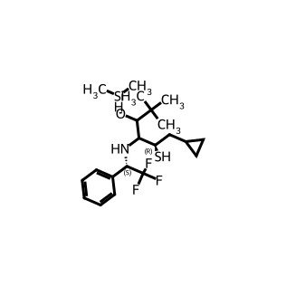 C[SiH](C)OC(C(N[C@@H](c1ccccc1)C(F)(F)F)[C@H](S)CC1CC1)C(C)(C)C